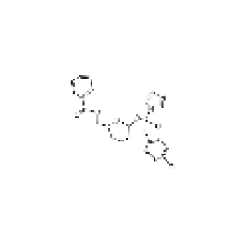 O=C(OCC1CCCC(OC(Cl)(Cc2ccc(Cl)cc2)n2ccnc2)O1)c1ccccc1